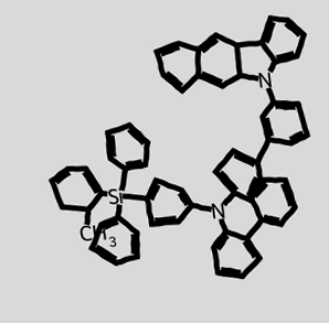 CC1CC=CC=C1[Si](c1ccccc1)(c1ccccc1)c1ccc(N(c2ccc(-c3cccc(N4c5ccccc5C5C=c6ccccc6=CC54)c3)cc2)c2ccccc2-c2ccccc2)cc1